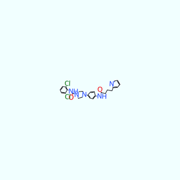 O=C(CCCc1ccccn1)Nc1ccc(N2CCN(C(=O)Nc3c(Cl)cccc3Cl)CC2)cc1